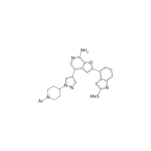 CSc1nc2cccc(-c3cc4c(-c5cnn(C6CCN(C(C)=O)CC6)c5)cnc(N)c4o3)c2s1